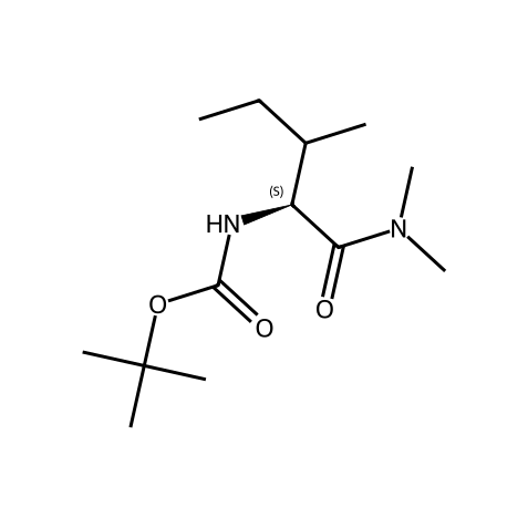 CCC(C)[C@H](NC(=O)OC(C)(C)C)C(=O)N(C)C